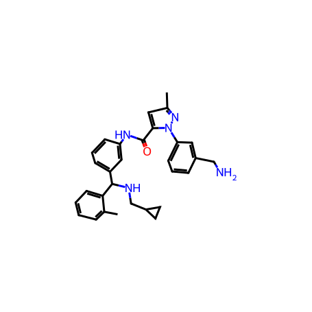 Cc1cc(C(=O)Nc2cccc(C(NCC3CC3)c3ccccc3C)c2)n(-c2cccc(CN)c2)n1